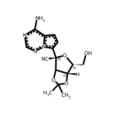 CC1(C)OC2[C@@H](O1)[C@@H](CO)O[C@@]2(C#N)c1ccc2c(N)ncnn12